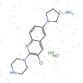 Cl.Cl.N[C@H]1CCN(c2ccc3nc(N4CCNCC4)c(Cl)cc3c2)C1